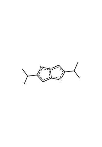 CC(C)c1cc2sc(C(C)C)cn2n1